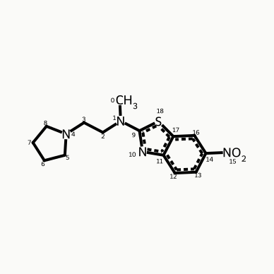 CN(CCN1CCCC1)c1nc2ccc([N+](=O)[O-])cc2s1